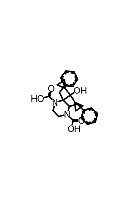 O=C(O)N1CCN(C(=O)O)C(Cc2ccccc2)(C(O)(C2CC2)C2CC2)C1Cc1ccccc1